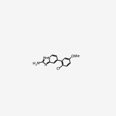 COc1ccc(Cl)c(-c2ccn3nc(N)nc3c2)c1